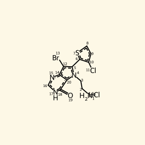 Cl.NCCn1c(-c2sccc2Cl)c(Br)c2nc[nH]c(=O)c21